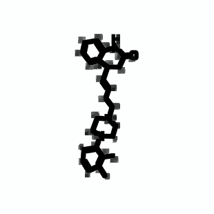 Cc1cccc(N2CCN(CCC=CC3CC(=O)Nc4ccccc43)CC2)c1C